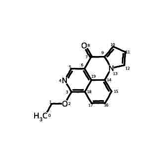 CCOc1ncc2c(=O)c3cccn3c3cccc1c23